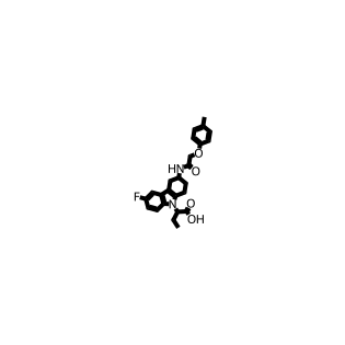 CCC(C(=O)O)n1c2c(c3cc(F)ccc31)CC(NC(=O)COc1ccc(C)cc1)CC2